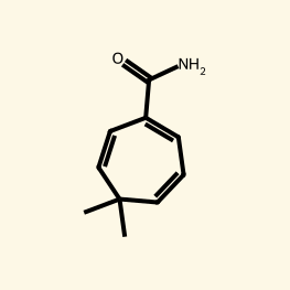 CC1(C)C=CC=C(C(N)=O)C=C1